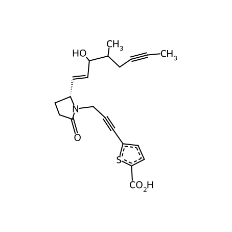 CC#CCC(C)C(O)/C=C/[C@H]1CCC(=O)N1CC#Cc1ccc(C(=O)O)s1